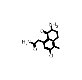 Cc1c(Cl)cc(CC(N)=O)c2c1CCC(N)C2=O